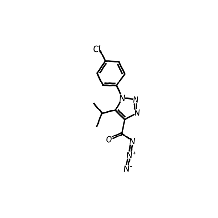 CC(C)c1c(C(=O)N=[N+]=[N-])nnn1-c1ccc(Cl)cc1